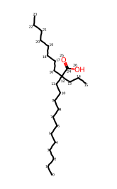 CCCCCCCCCCCCC(CCC)(CCCCCCCC)C(=O)O